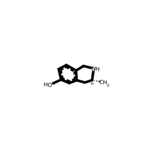 C[C@@H]1Cc2cc(O)ccc2CN1